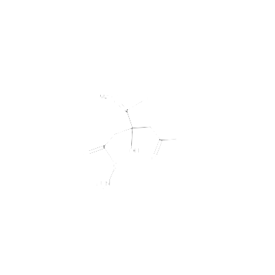 NOC(=O)CC(O)(CC(=O)[O-])C(=O)[O-].[Mn+2]